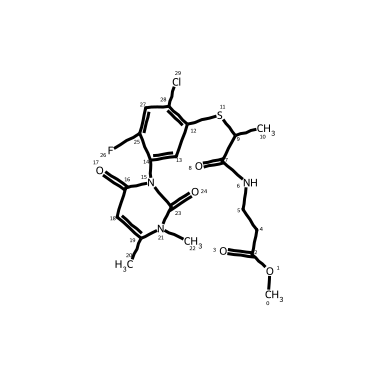 COC(=O)CCNC(=O)C(C)Sc1cc(-n2c(=O)cc(C)n(C)c2=O)c(F)cc1Cl